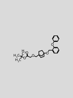 CC(C)(C)OC(=O)COCC12CCC(OCc3ccccc3Oc3ccccc3)(CC1)C2